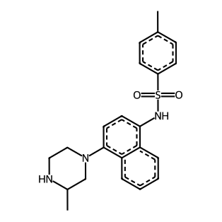 Cc1ccc(S(=O)(=O)Nc2ccc(N3CCNC(C)C3)c3ccccc23)cc1